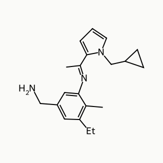 CCc1cc(CN)cc(/N=C(\C)c2cccn2CC2CC2)c1C